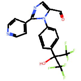 O=Cc1cnc(-c2ccncc2)n1-c1ccc(C(O)(C(F)(F)F)C(F)(F)F)cc1